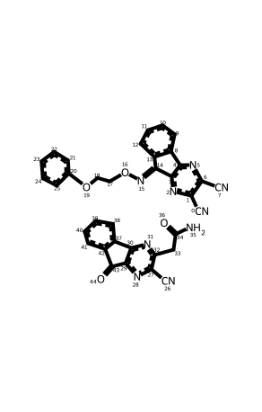 N#Cc1nc2c(nc1C#N)-c1ccccc1/C2=N\OCCOc1ccccc1.N#Cc1nc2c(nc1CC(N)=O)-c1ccccc1C2=O